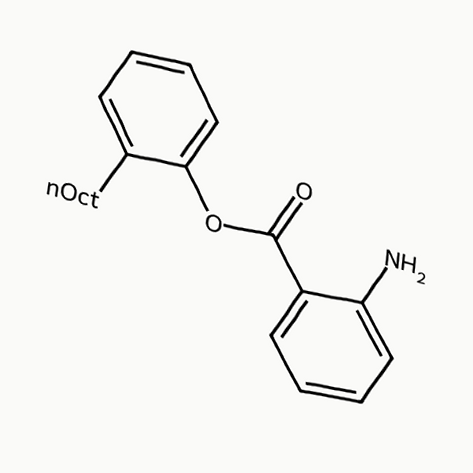 CCCCCCCCc1ccccc1OC(=O)c1ccccc1N